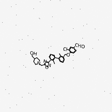 Cc1c(COc2ccc(C=O)cc2Cl)cccc1-c1cccc(-c2noc(CN3CCC(CO)CC3)n2)c1C